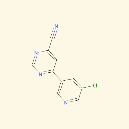 N#Cc1cc(-c2cncc(Cl)c2)ncn1